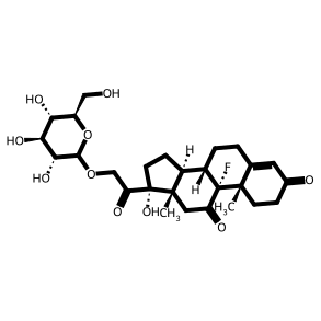 C[C@]12CCC(=O)C=C1CC[C@H]1[C@@H]3CC[C@](O)(C(=O)COC4O[C@H](CO)[C@@H](O)[C@H](O)[C@H]4O)[C@@]3(C)CC(=O)[C@@]12F